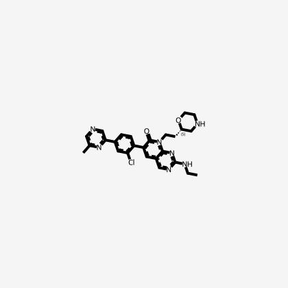 CCNc1ncc2cc(-c3ccc(-c4cncc(C)n4)cc3Cl)c(=O)n(CC[C@H]3CNCCO3)c2n1